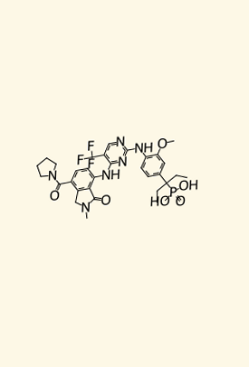 CCC(CC)(c1ccc(Nc2ncc(C(F)(F)F)c(Nc3ccc(C(=O)N4CCCC4)c4c3C(=O)N(C)C4)n2)c(OC)c1)P(=O)(O)O